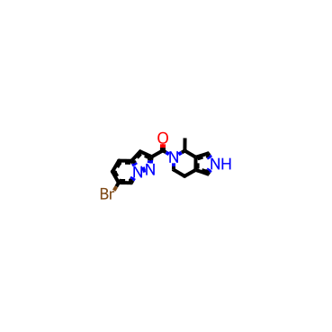 CC1c2c[nH]cc2CCN1C(=O)c1cc2ccc(Br)cn2n1